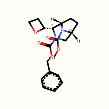 CC(C)(C)OC(=O)N1[C@@H]2CC[C@H]1[C@@H](C1CCO1)N(C(=O)OCc1ccccc1)C2